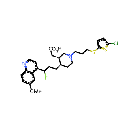 COc1ccc2nccc([C@H](F)CC[C@@H]3CCN(CCCSc4ccc(Cl)s4)C[C@@H]3CC(=O)O)c2c1